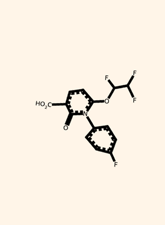 O=C(O)c1ccc(OC(F)C(F)F)n(-c2ccc(F)cc2)c1=O